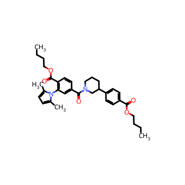 CCCCOC(=O)c1ccc(C2CCCN(C(=O)c3ccc(C(=O)OCCCC)c(-n4c(C)ccc4C)c3)C2)cc1